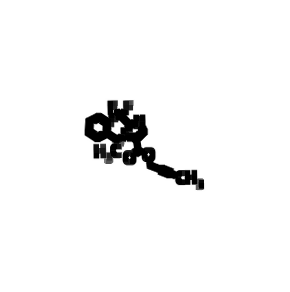 CC#CCOC(=O)c1cnc(C(F)(F)F)n1[C@H](C)c1ccccc1